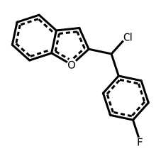 Fc1ccc(C(Cl)c2cc3ccccc3o2)cc1